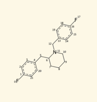 Fc1ccc(CC2CCCCN2Cc2ccc(F)cc2)cc1